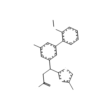 COc1ccccc1-c1cc(F)cc(C(CC(=O)O)c2ncc(C)o2)c1